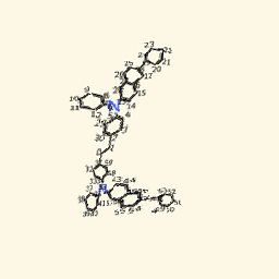 C(=C\c1ccc(N(c2ccccc2)c2ccc3cc(-c4ccccc4)ccc3c2)cc1)/c1ccc(N(c2ccccc2)c2ccc3cc(-c4ccccc4)ccc3c2)cc1